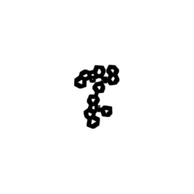 c1ccc(-n2c3cc(-c4ccc(N(c5cccc6ccccc56)c5cccc6c5oc5c7ccccc7ccc65)cc4)ccc3c3ccc4ccccc4c32)cc1